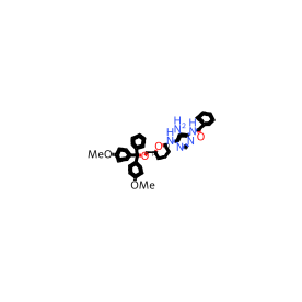 COc1ccc(C(OC[C@@H]2CCC[C@H](Nc3ncnc(NC(=O)c4ccccc4)c3N)O2)(c2ccccc2)c2ccc(OC)cc2)cc1